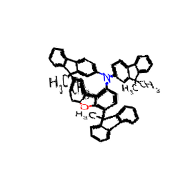 CC1(C)c2ccccc2-c2ccc(N(c3ccc4c(c3)C(C)(C)c3ccccc3-4)c3ccc(C4(C)c5ccccc5-c5ccccc54)c4oc5ccccc5c34)cc21